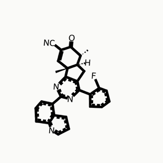 C[C@H]1C(=O)C(C#N)=C[C@@]2(C)c3nc(-c4cccc5ncccc45)nc(-c4ccccc4F)c3C[C@H]12